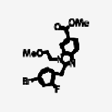 COCCn1c(Cc2ccc(Br)cc2F)nc2ccc(C(=O)OC)cc21